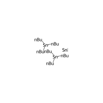 CCC[CH2][Sn]([CH2]CCC)[CH2]CCC.CCC[CH2][Sn]([CH2]CCC)[CH2]CCC.[Sn]